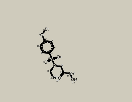 CCOc1ccc(S(=O)(=O)N(CC(=O)NO)CC(C)C)cc1